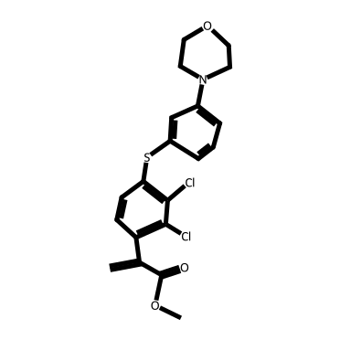 C=C(C(=O)OC)c1ccc(Sc2cccc(N3CCOCC3)c2)c(Cl)c1Cl